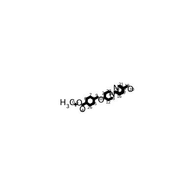 CCOC(=O)C1CCC(COC2CCN(c3ccc(C=O)cn3)CC2)CC1